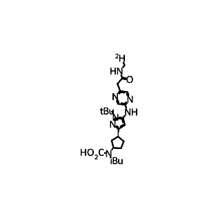 [2H]CNC(=O)Cc1cnc(Nc2cc([C@H]3CC[C@@H](N(C(=O)O)[C@@H](C)CC)C3)nn2C(C)(C)C)cn1